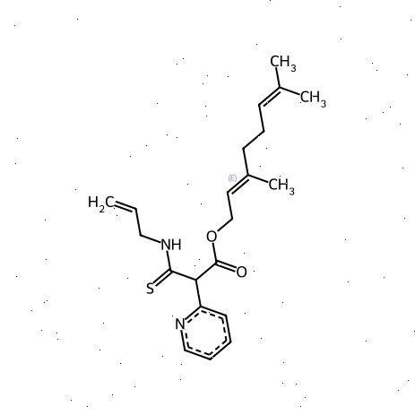 C=CCNC(=S)C(C(=O)OC/C=C(\C)CCC=C(C)C)c1ccccn1